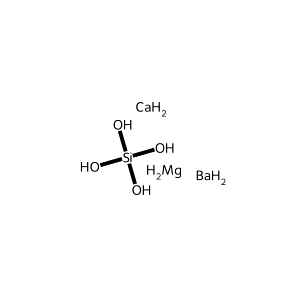 O[Si](O)(O)O.[BaH2].[CaH2].[MgH2]